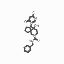 O=C(NCc1ccccc1)N1CCC(O)(Cn2cnc(Cl)cc2=O)C2(CCCC2)C1